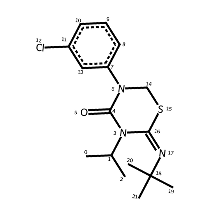 CC(C)N1C(=O)N(c2cccc(Cl)c2)CSC1=NC(C)(C)C